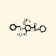 COc1cc(C(=O)NN2CCCCC2)cc(OC)c1OCc1ccccc1